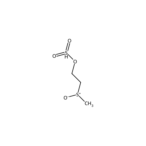 C[S+]([O-])CCO[SH](=O)=O